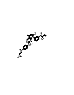 C=CC(=O)Nc1cccc(-n2c(=O)cc(C)c3cnc(Nc4ccc(N(C)CCN(C)C)cc4)nc32)c1